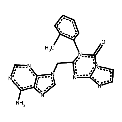 Cc1ccccc1-n1c(Cn2cnc3c(N)ncnc32)nc2nccn2c1=O